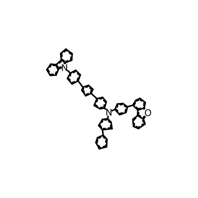 c1ccc(-c2ccc(N(c3ccc(-c4ccc(-c5ccc(-n6c7ccccc7c7ccccc76)cc5)cc4)cc3)c3ccc(-c4cccc5oc6ccccc6c45)cc3)cc2)cc1